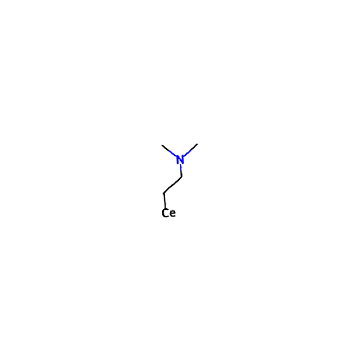 CN(C)C[CH2][Ce]